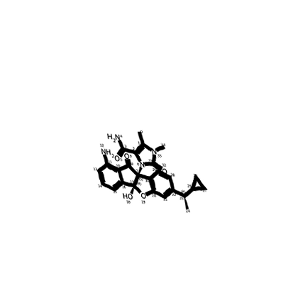 Cc1c(C(N)=O)n([C@]23C(=O)c4c(N)cccc4[C@@]2(O)Oc2cc([C@H](C)C4CC4)ccc23)c(=O)n1C